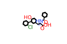 O=C(O)/C(=C/c1ccc(O)c(-c2ccccc2Cl)c1)NC(=O)c1ccccc1